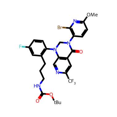 COc1ccc(N2CN(c3ccc(F)cc3CCCNC(=O)OC(C)(C)C)c3cnc(C(F)(F)F)cc3C2=O)c(Br)n1